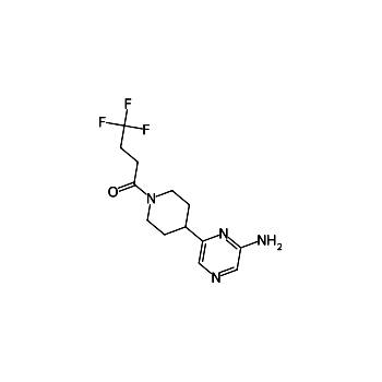 Nc1cncc(C2CCN(C(=O)CCC(F)(F)F)CC2)n1